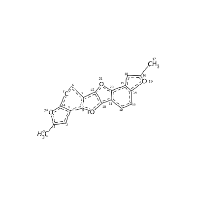 Cc1cc2c(ccc3c2oc2c4ccc5oc(C)cc5c4oc32)o1